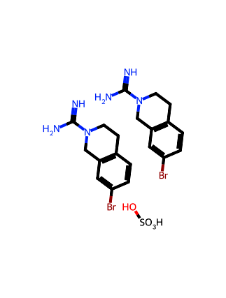 N=C(N)N1CCc2ccc(Br)cc2C1.N=C(N)N1CCc2ccc(Br)cc2C1.O=S(=O)(O)O